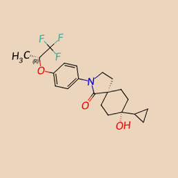 C[C@@H](Oc1ccc(N2CC[C@]3(CC[C@](O)(C4CC4)CC3)C2=O)cc1)C(F)(F)F